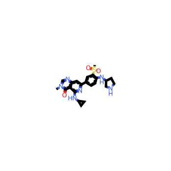 Cn1cnc2cc(-c3ccc(NC4CCNC4)c(S(C)(=O)=O)c3)nc(NC3CC3)c2c1=O